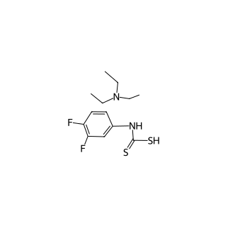 CCN(CC)CC.Fc1ccc(NC(=S)S)cc1F